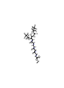 CCOC(=O)/C=C/C(C)=C/C(C)=C/C=C/C(C)=C/[C@H](O[Si](C)(C)C(C)(C)C)[C@@H](C)C[C@@H](C)O[Si](C)(C)C(C)(C)C